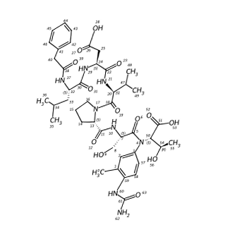 Cc1cc(N(C(=O)[C@H](CO)NC(=O)[C@@H]2CCCN2C(=O)[C@@H](NC(=O)[C@H](CC(=O)O)NC(=O)[C@H](CC(C)C)NC(=O)Cc2ccccc2)C(C)C)[C@H](C(=O)O)[C@@H](C)O)ccc1NC(N)=O